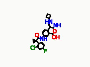 N=C/C(=C\NC1CCC1)c1ccc(NC(=O)C2(c3ccc(F)cc3Cl)CC2)cc1C(=O)O